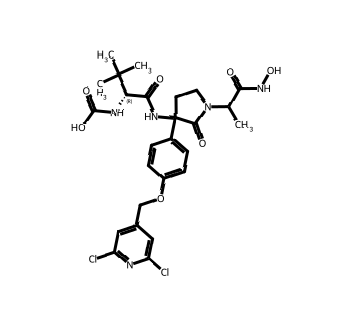 CC(C(=O)NO)N1CCC(NC(=O)[C@H](NC(=O)O)C(C)(C)C)(c2ccc(OCc3cc(Cl)nc(Cl)c3)cc2)C1=O